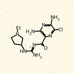 CCN1CCC(N/C(N)=N/C(=O)c2nc(Cl)c(N)nc2N)C1